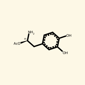 CC(=O)O[C@@H](N)Cc1ccc(O)c(O)c1